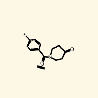 C=C.O=C1CCN(C(=O)c2ccc(F)cc2)CC1